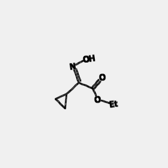 CCOC(=O)C(=NO)C1CC1